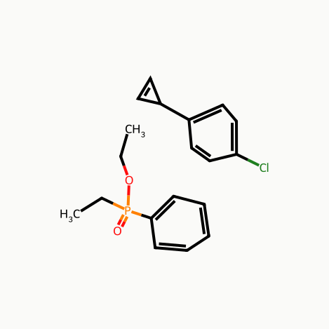 CCOP(=O)(CC)c1ccccc1.Clc1ccc(C2C=C2)cc1